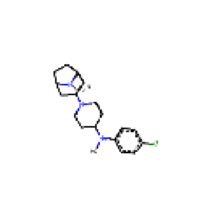 CCOC(=O)N1C2CCC1CC(N1CCC(N(C(C)=O)c3ccc(Cl)cc3)CC1)C2